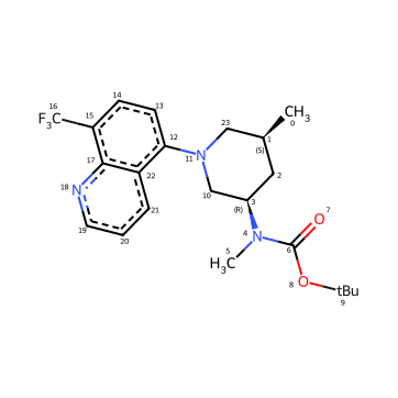 C[C@H]1C[C@@H](N(C)C(=O)OC(C)(C)C)CN(c2ccc(C(F)(F)F)c3ncccc23)C1